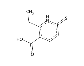 CCc1[nH]c(=S)ccc1C(=O)O